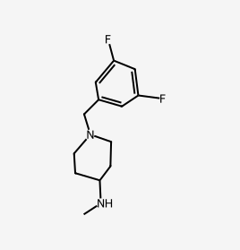 CNC1CCN(Cc2cc(F)cc(F)c2)CC1